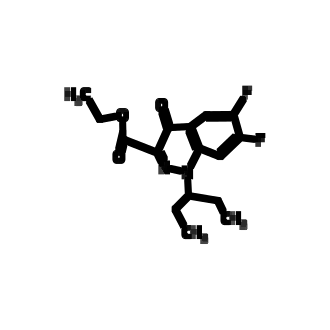 CCOC(=O)c1nn(C(CC)CC)c2cc(F)c(F)cc2c1=O